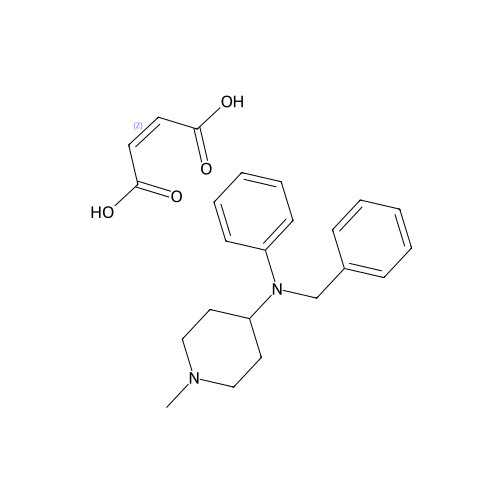 CN1CCC(N(Cc2ccccc2)c2ccccc2)CC1.O=C(O)/C=C\C(=O)O